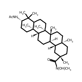 CC(=O)N[C@H]1CC[C@@]2(C)C(CC[C@]3(C)[C@@H]2CC[C@@H]2[C@H]4C[C@@](C)(C(=O)N(C)O)CC[C@]4(C)CC[C@]23C)C1(C)C